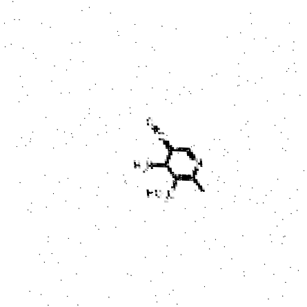 CC1=C(C(=O)O)C(N)C(=C=O)C=N1